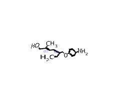 C=C/C(=C\C=C(/C)CO)COc1ccc(N)cc1